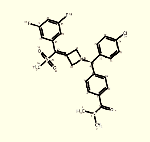 CN(C)C(=O)c1ccc([C@H](c2ccc(Cl)cc2)N2CC(=C(c3cc(F)cc(F)c3)S(C)(=O)=O)C2)cc1